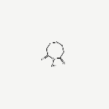 O=C1CCCCCC(=O)N1O